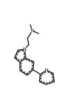 CN(C)CCn1ccc2ccc(-c3ccccn3)cc21